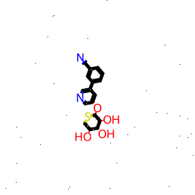 N#Cc1cccc(-c2cncc(O[C@@H]3SC[C@@H](O)[C@H](O)[C@H]3O)c2)c1